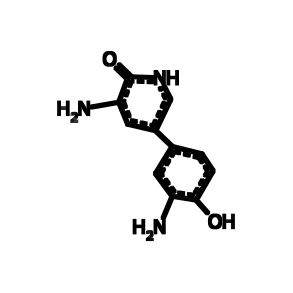 Nc1cc(-c2c[nH]c(=O)c(N)c2)ccc1O